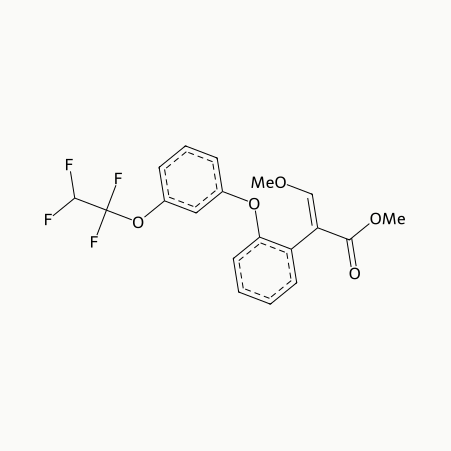 CO/C=C(/C(=O)OC)c1ccccc1Oc1cccc(OC(F)(F)C(F)F)c1